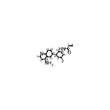 C=CC(=O)Nc1cc(C)cc(-c2ccc3nccc(N)c3c2)c1